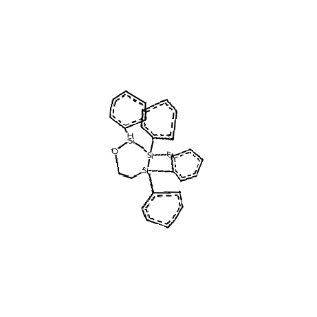 CC[Si]1(c2ccccc2)[SiH](c2ccccc2)OCC[Si]1(c1ccccc1)c1ccccc1